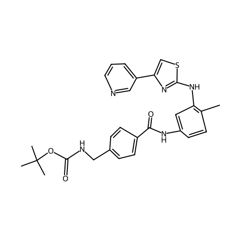 Cc1ccc(NC(=O)c2ccc(CNC(=O)OC(C)(C)C)cc2)cc1Nc1nc(-c2cccnc2)cs1